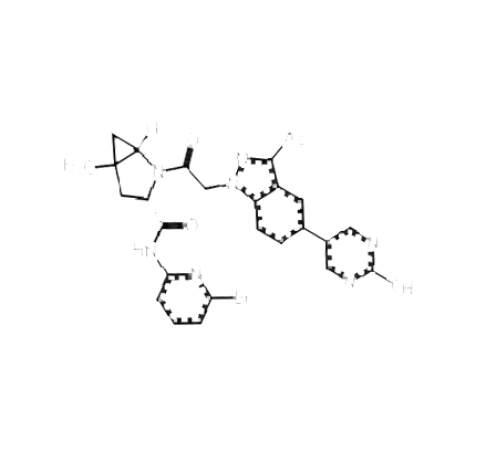 CC(=O)c1nn(CC(=O)N2[C@H]3CC3(C)C[C@H]2C(=O)Nc2cccc(Br)n2)c2ccc(-c3cnc(C)nc3)cc12